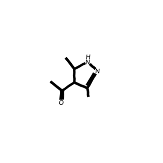 CC(=O)C1C(C)=NNC1C